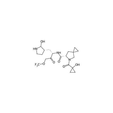 O=C(COC(F)(F)F)[C@H](C[C@@H]1CCNC1O)NC(=O)[C@@H]1CC2(CC2)CN1C(=O)C1(O)CC1